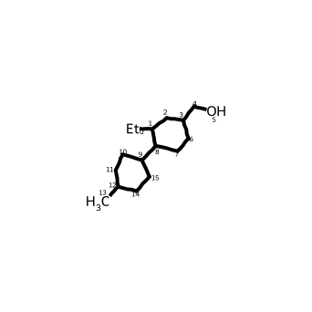 CCC1CC(CO)CCC1C1CCC(C)CC1